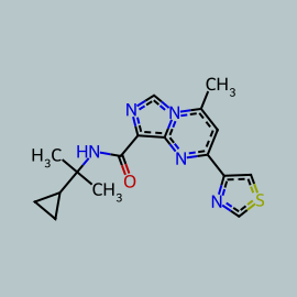 Cc1cc(-c2cscn2)nc2c(C(=O)NC(C)(C)C3CC3)ncn12